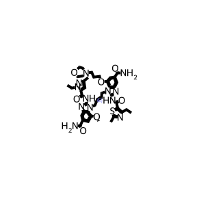 CCc1nc(C)sc1C(=O)Nc1nc2cc(C(N)=O)cc(OCCCN3CCOCC3)c2n1C/C=C/Cn1c(NC(=O)c2cc(C)nn2CC)nc2cc(C(N)=O)cc(OC)c21